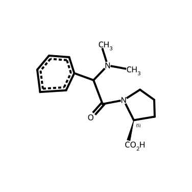 CN(C)C(C(=O)N1CCC[C@H]1C(=O)O)c1ccccc1